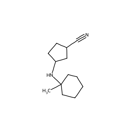 CC1(NC2CCC(C#N)C2)CCCCC1